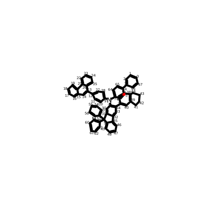 c1ccc(-c2ccc(N(c3ccc(-c4cc5ccccc5c5ccccc45)cc3)c3cc4c(cc3-c3ccc5c(c3)CCCC5)-c3ccccc3C4(c3ccccc3)c3ccccc3)cc2)cc1